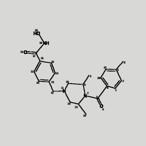 Cc1ccc(C(=O)N2C(C)CN(Cc3ccc(C(=O)NO)cc3)CC2C)cc1